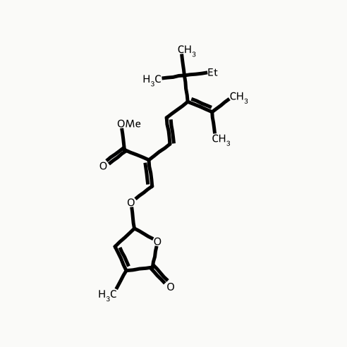 CCC(C)(C)C(/C=C/C(=C/OC1C=C(C)C(=O)O1)C(=O)OC)=C(C)C